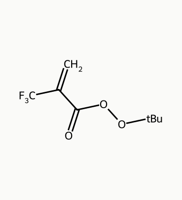 C=C(C(=O)OOC(C)(C)C)C(F)(F)F